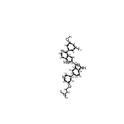 COc1cc(F)cc(-c2nccc3[nH]c(-c4n[nH]c5ccc(-c6cncc(OCCN(C)C)c6)cc45)cc23)c1